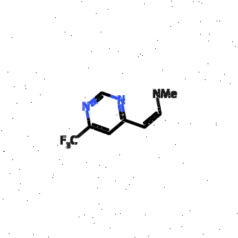 CN/C=C\c1cc(C(F)(F)F)ncn1